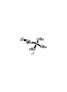 CCCC[N+](CCCC)(CCCC)CCCC.[I-].[O]=[Zn]